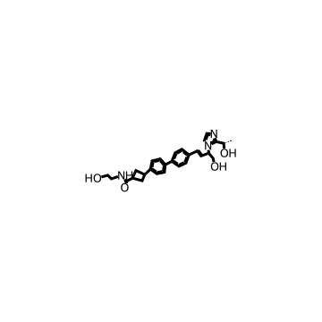 C[C@H](O)c1nccn1C(/C=C/c1ccc(-c2ccc(C3CC(C(=O)NCCO)C3)cc2)cc1)CO